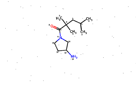 CC(C)CC(C)(C)C(=O)N1CCC(N)C1